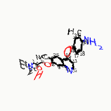 CCN(CC)C[C@@H](O)COc1cc2nccc(Oc3ccc(N)c(C)c3)c2cc1C#N